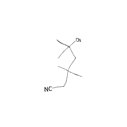 CC(C)(C#N)CC(C)(C)CC#N